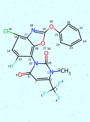 Cn1c(C(F)(F)F)cc(=O)n(-c2c(F)cc(Cl)c3nc(Oc4ccccc4)oc23)c1=O